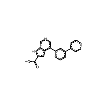 O=C(O)c1cc2c(-c3cccc(-c4ccccc4)c3)cncc2[nH]1